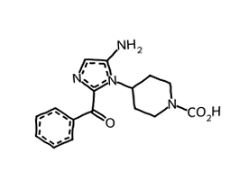 Nc1cnc(C(=O)c2ccccc2)n1C1CCN(C(=O)O)CC1